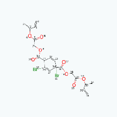 C=CC(C)OC(=O)COC(=O)C1C=CC(Br)(C(=O)OCC(=O)OC(C)C=C)C=C1Br